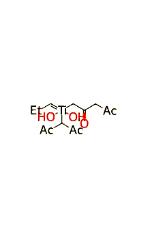 CC[CH]=[Ti]([OH])([OH])([CH2]C(=O)CC(C)=O)[CH](C(C)=O)C(C)=O